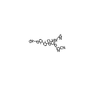 Cc1c(COc2cc(OCc3cncc(C#N)c3)c(CNCCc3cscn3)cc2Cl)cccc1-c1cccc(OCCCN2CCCC2)c1C